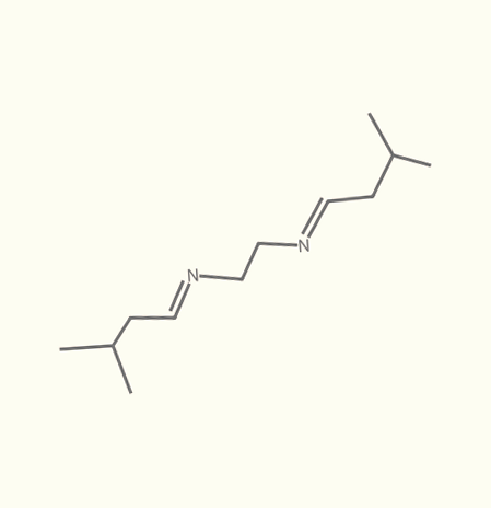 CC(C)CC=NCCN=CCC(C)C